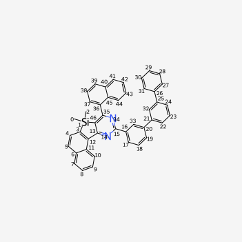 C[Si]1(C)c2ccc3ccccc3c2-c2nc(-c3cccc(-c4cccc(-c5ccccc5)c4)c3)nc(-c3cccc4ccccc34)c21